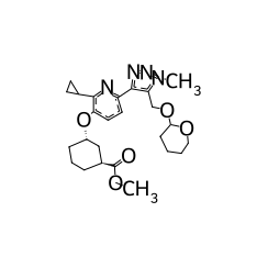 COC(=O)[C@H]1CCC[C@H](Oc2ccc(-c3nnn(C)c3COC3CCCCO3)nc2C2CC2)C1